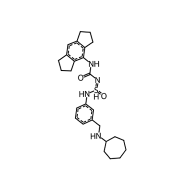 O=C(/N=[SH](=O)\Nc1cccc(CNC2CCCCCC2)c1)Nc1c2c(cc3c1CCC3)CCC2